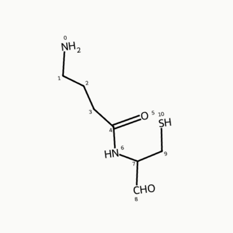 NCCCC(=O)NC(C=O)CS